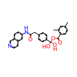 Cc1ccc(C(=O)OC(O)(O)c2ccc(CC(=O)Nc3ccc4cnccc4c3)cc2)c(C)c1